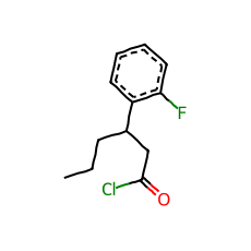 CCCC(CC(=O)Cl)c1ccccc1F